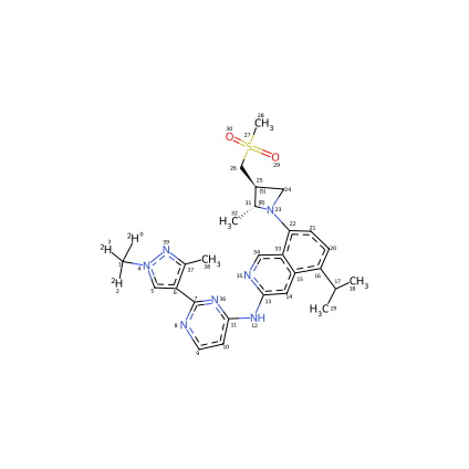 [2H]C([2H])([2H])n1cc(-c2nccc(Nc3cc4c(C(C)C)ccc(N5C[C@H](CS(C)(=O)=O)[C@H]5C)c4cn3)n2)c(C)n1